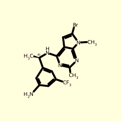 Cc1nc(N[C@H](C)c2cc(N)cc(C(F)(F)F)c2)c2cc(Br)n(C)c2n1